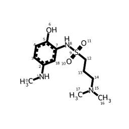 CNc1ccc(O)c(NS(=O)(=O)CCCN(C)C)c1